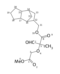 COC(=O)COC(C)(C=O)C(=O)OCC1CC2CC1C1CCCC21